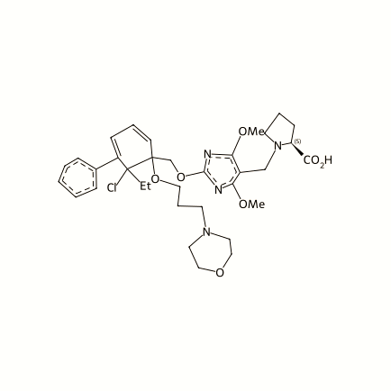 CCC1(Cl)C(c2ccccc2)=CC=CC1(COc1nc(OC)c(CN2CCC[C@H]2C(=O)O)c(OC)n1)OCCCN1CCOCC1